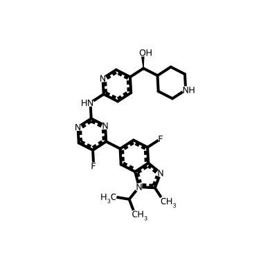 Cc1nc2c(F)cc(-c3nc(Nc4ccc([C@@H](O)C5CCNCC5)cn4)ncc3F)cc2n1C(C)C